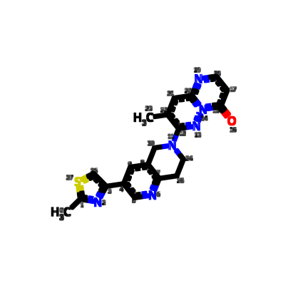 Cc1nc(-c2cnc3c(c2)CN(c2nn4c(=O)ccnc4cc2C)CC3)cs1